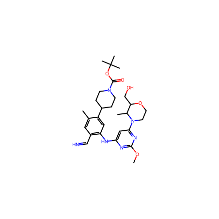 COc1nc(Nc2cc(C3CCN(C(=O)OC(C)(C)C)CC3)c(C)cc2C=N)cc(N2CCOC(CO)C2C)n1